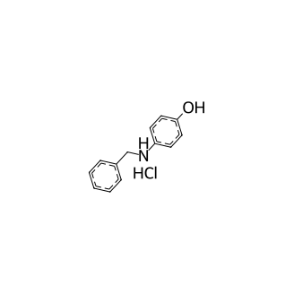 Cl.Oc1ccc(NCc2ccccc2)cc1